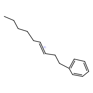 CCCCC/C=C/CCc1ccccc1